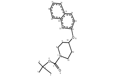 CC(C)(C)OC(=O)N1CCC(Oc2ccc3ccccc3n2)CC1